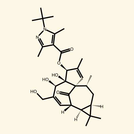 CC1=C[C@]23C(=O)[C@@H](C=C(CO)[C@@H](O)[C@]2(O)[C@H]1OC(=O)c1c(C)nn(C(C)(C)C)c1C)[C@H]1[C@@H](C[C@H]3C)C1(C)C